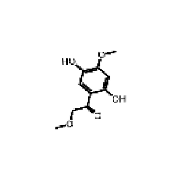 COCC(=O)c1cc(O)c(OC)cc1O